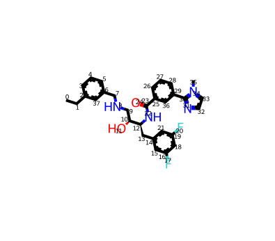 CCc1cccc(CNC[C@H](O)[C@H](Cc2cc(F)cc(F)c2)NC(=O)c2cccc(-c3nccn3C)c2)c1